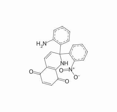 Nc1ccccc1C1(c2ccccc2[N+](=O)[O-])C=CC2=C(N1)C(=O)C=CC2=O